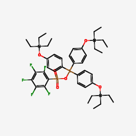 CC[Si](CC)(CC)Oc1ccc(S(OS(=O)(=O)c2c(F)c(F)c(F)c(F)c2F)(c2ccc(O[Si](CC)(CC)CC)cc2)c2ccc(O[Si](CC)(CC)CC)cc2)cc1